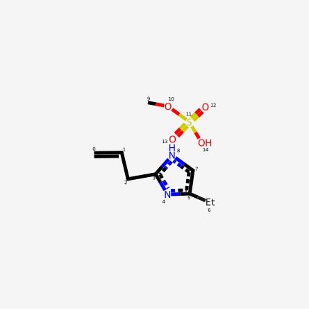 C=CCc1nc(CC)c[nH]1.COS(=O)(=O)O